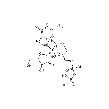 Nc1nc2c(ncn2[C@]2([C@@H]3O[C@@H](CO)[C@H](O)[C@@H]3O)O[C@@]3(COP(=O)(O)OP(=O)(O)O)CO[C@@H]2[C@@H]3O)c(=O)[nH]1